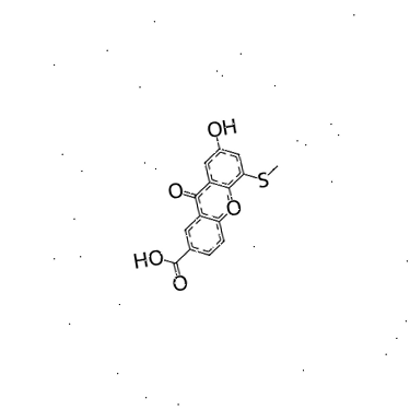 CSc1cc(O)cc2c(=O)c3cc(C(=O)O)ccc3oc12